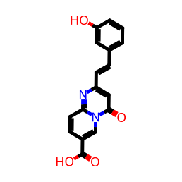 O=C(O)c1ccc2nc(C=Cc3cccc(O)c3)cc(=O)n2c1